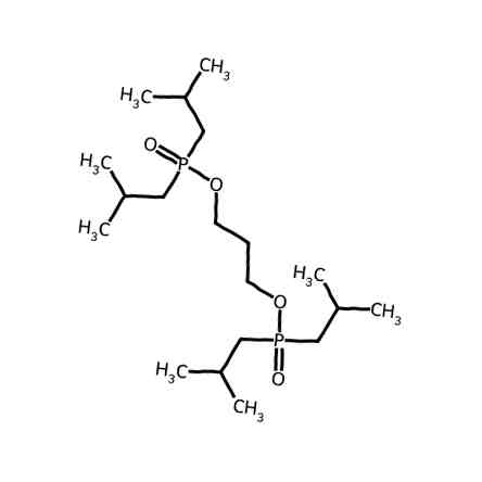 CC(C)CP(=O)(CC(C)C)OCCCOP(=O)(CC(C)C)CC(C)C